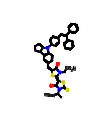 CCCCCCCCCC(C)N1C(=O)/C(=c2\s/c(=C/c3ccc4c(c3)C3CCCC3N4c3ccc(C=C(c4ccccc4)c4ccccc4)cc3)c(=O)n2CC(=O)O)SC1=S